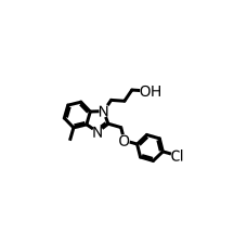 Cc1cccc2c1nc(COc1ccc(Cl)cc1)n2CCCO